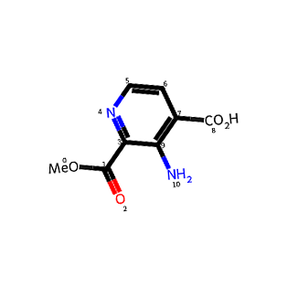 COC(=O)c1nccc(C(=O)O)c1N